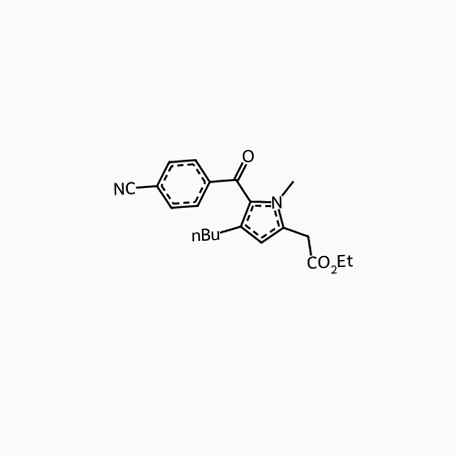 CCCCc1cc(CC(=O)OCC)n(C)c1C(=O)c1ccc(C#N)cc1